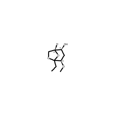 CCC12OC[C@@H](O1)[C@@H](O)C[C@H]2OC